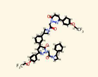 O=C(Cn1nc(-c2ccc(OCC(F)(F)F)cc2)ccc1=O)N1CC(c2cccc(-c3cc(-c4ccc(OCC(F)(F)F)cc4)nn(CC(=O)N4CCC4c4ccccc4)c3=O)c2)C1